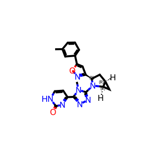 Cc1cccc(-c2cc([C@H]3C[C@H]4C[C@H]4N3c3nnc(-c4cc[nH]c(=O)n4)n3C)no2)c1